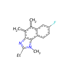 C=c1c(=C)c2nc(CC)n(C)c2c2ccc(F)cc12